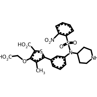 Cc1c(-c2cccc(N(C3CCNCC3)S(=O)(=O)c3ccccc3[N+](=O)[O-])c2)sc(C(=O)O)c1OCC(=O)O